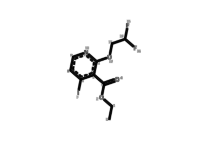 CCOC(=O)c1c(I)ccnc1OCC(F)F